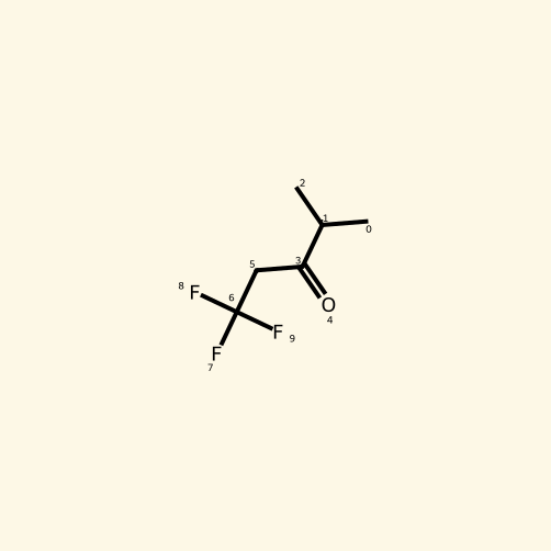 C[C](C)C(=O)CC(F)(F)F